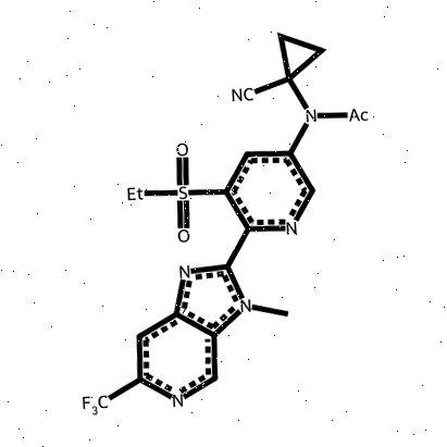 CCS(=O)(=O)c1cc(N(C(C)=O)C2(C#N)CC2)cnc1-c1nc2cc(C(F)(F)F)ncc2n1C